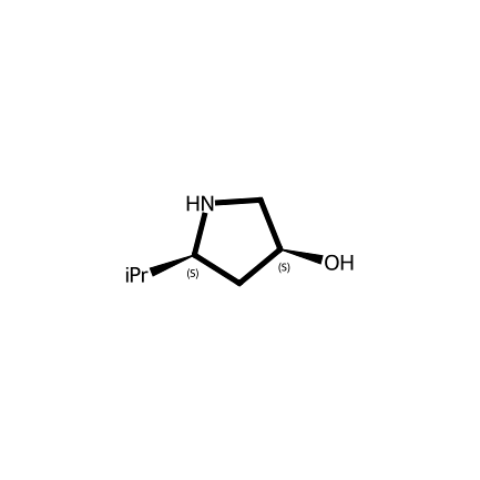 CC(C)[C@@H]1C[C@H](O)CN1